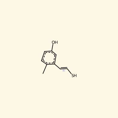 Cc1ccc(O)cc1/C=C/S